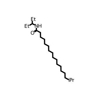 [CH2]CC(CC)NC(=O)CCCCCCCCCCCCCCC(C)C